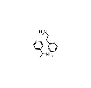 CC(N)c1ccccc1.NCCc1ccccc1